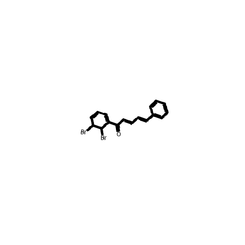 O=C(C=CC=Cc1ccccc1)C1=CC=CC(Br)C1Br